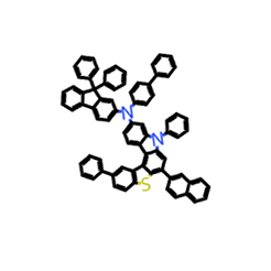 c1ccc(-c2ccc(N(c3ccc4c(c3)C(c3ccccc3)(c3ccccc3)c3ccccc3-4)c3ccc4c5c6c(sc7ccc(-c8ccccc8)cc76)c(-c6ccc7ccccc7c6)cc5n(-c5ccccc5)c4c3)cc2)cc1